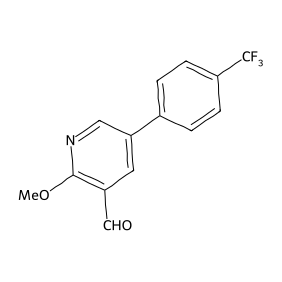 COc1ncc(-c2ccc(C(F)(F)F)cc2)cc1C=O